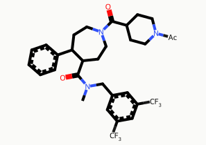 CC(=O)N1CCC(C(=O)N2CCC(C(=O)N(C)Cc3cc(C(F)(F)F)cc(C(F)(F)F)c3)C(c3ccccc3)CC2)CC1